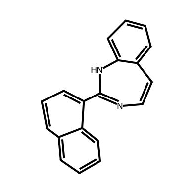 C1=Cc2ccccc2NC(c2cccc3ccccc23)=N1